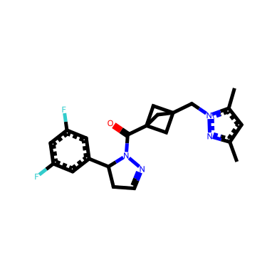 Cc1cc(C)n(CC23CC(C(=O)N4N=CCC4c4cc(F)cc(F)c4)(C2)C3)n1